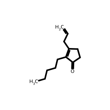 C=CCC1=C(CCCCC)C(=O)CC1